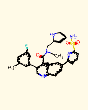 Cc1cc(F)cc(-c2cnc3ccc(-c4cccc(S(N)(=O)=O)n4)cc3c2C(=O)N(C)C[C@@H]2CCCN2)c1